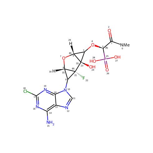 CNC(=O)[C@H](OC1[C@H]2O[C@H]3C(n4cnc5c(N)nc(Cl)nc54)[C@]3(F)[C@@]12O)P(=O)(O)O